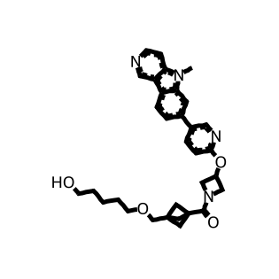 Cn1c2ccncc2c2ccc(-c3ccc(OC4CN(C(=O)C56CC(COCCCCCO)(C5)C6)C4)nc3)cc21